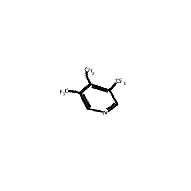 Cc1c(C(F)(F)F)cncc1C(F)(F)F